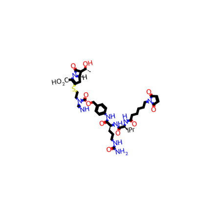 CC(C)[C@H](NC(=O)CCCCCN1C(=O)C=CC1=O)C(=O)N[C@@H](CCCNC(N)=O)C(=O)Nc1ccc(COC(=O)N(C=N)CCSC2=C(C(=O)O)N3C(=O)C([C@@H](C)O)[C@H]3C2)cc1